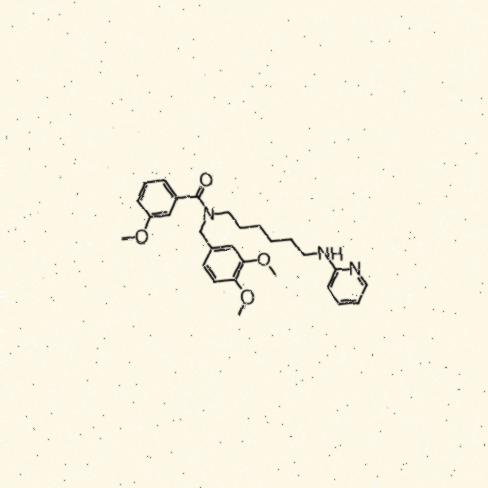 COc1cccc(C(=O)N(CCCCCCNc2ccccn2)Cc2ccc(OC)c(OC)c2)c1